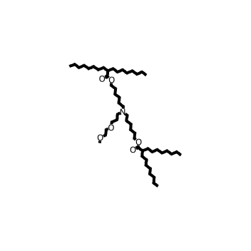 CCCCCCCCC(CCCCCCCC)C(=O)OCCCCCCN(CCCCCCOC(=O)C(CCCCCCCC)CCCCCCCC)CCCOCCOC